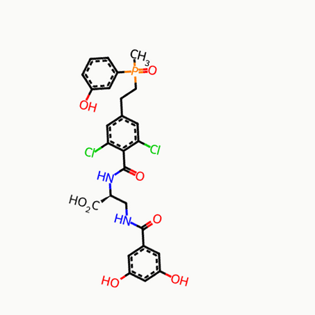 CP(=O)(CCc1cc(Cl)c(C(=O)N[C@@H](CNC(=O)c2cc(O)cc(O)c2)C(=O)O)c(Cl)c1)c1cccc(O)c1